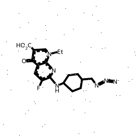 CCn1cc(C(=O)O)c(=O)c2cc(F)c(NC3CCC(CN=[N+]=[N-])CC3)nc21